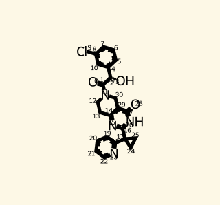 O=C([C@H](O)c1cccc(Cl)c1)N1CCc2nc(C3(c4ccccn4)CC3)[nH]c(=O)c2C1